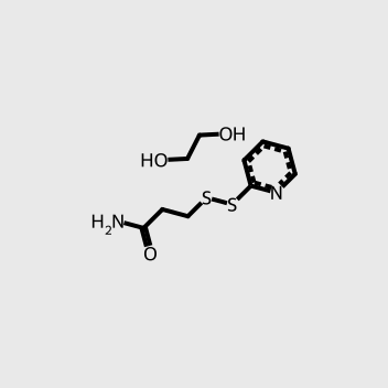 NC(=O)CCSSc1ccccn1.OCCO